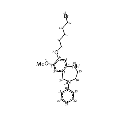 COc1cc2c(cc1OCCCCCBr)NCCN(c1ccccc1)C2